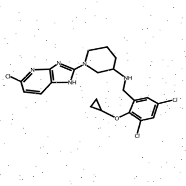 Clc1cc(Cl)c(OC2CC2)c(CNC2CCCN(c3nc4nc(Cl)ccc4[nH]3)C2)c1